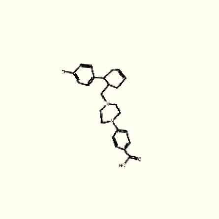 O=C(O)c1ccc(N2CCN(CC3CC=CCC3c3ccc(Cl)cc3)CC2)cc1